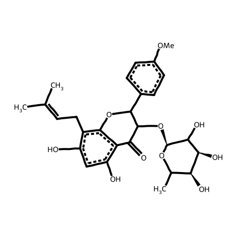 COc1ccc(C2Oc3c(CC=C(C)C)c(O)cc(O)c3C(=O)C2O[C@@H]2OC(C)[C@H](O)[C@H](O)C2O)cc1